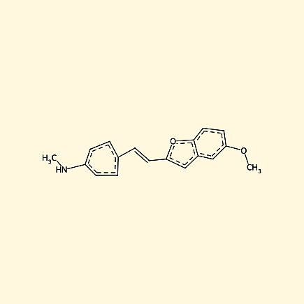 CNc1ccc(C=Cc2cc3cc(OC)ccc3o2)cc1